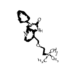 C[Si](C)(C)CCOCc1ccnc2c1[nH]c(=O)n2-c1cc[c]cc1